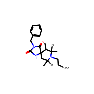 CCC1(C)CC2(NC(=O)N(Cc3ccccc3)C2=O)C(C)C(C)(CC)N1CCOC(C)=O